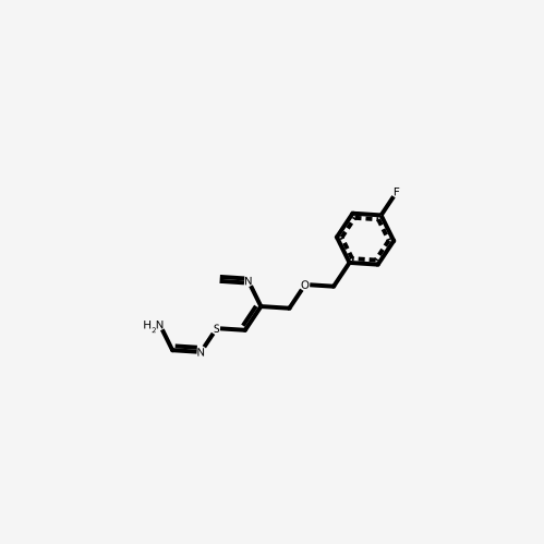 C=N/C(=C\S/N=C\N)COCc1ccc(F)cc1